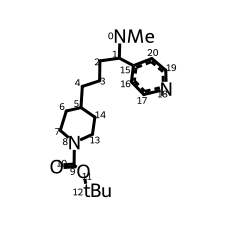 CNC(CCCC1CCN(C(=O)OC(C)(C)C)CC1)c1ccncc1